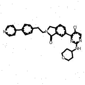 O=C1c2cc(-c3nc(NC4CCOCC4)ncc3Cl)ccc2CN1C[CH]c1ccc(-c2ccncc2)cc1